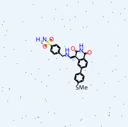 CSc1ccc(-c2ccc3c(c2)/C(=C/NCc2ccc(S(N)(=O)=O)cc2)C(=O)NC3=O)cc1